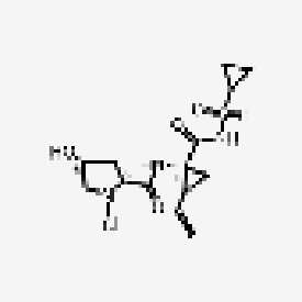 C=CC1C[C@]1(NC(=O)[C@@H]1C[C@@H](O)CN1Cl)C(=O)NS(=O)(=O)C1CC1